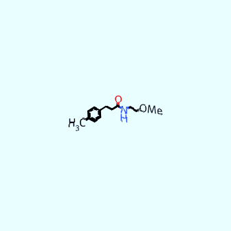 COCCNC(=O)CCc1ccc(C)cc1